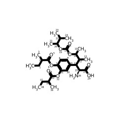 CCC(C)C(=O)Oc1ccc(C(C(C)C(C)OC(=O)OC(C)C(C)C)[C@H](N)C(=O)O)cc1OC(=O)C(C)CC